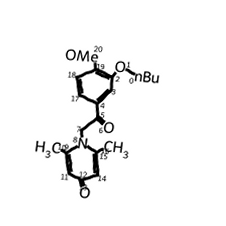 CCCCOc1cc(C(=O)Cn2c(C)cc(=O)cc2C)ccc1OC